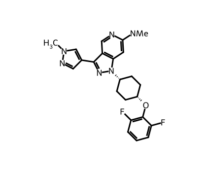 CNc1cc2c(cn1)c(-c1cnn(C)c1)nn2[C@H]1CC[C@@H](Oc2c(F)cccc2F)CC1